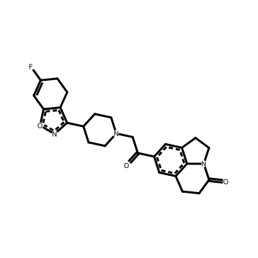 O=C(CN1CCC(c2noc3c2CCC(F)=C3)CC1)c1cc2c3c(c1)CCN3C(=O)CC2